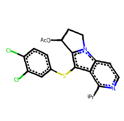 CC(=O)OC1CCn2c1c(Sc1ccc(Cl)c(Cl)c1)c1c(C(C)C)nccc12